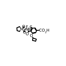 O=C(O)c1cc(OC2CCC2)c(C(=O)NS(=O)(=O)N2CCCC2)c(C(F)(F)F)c1